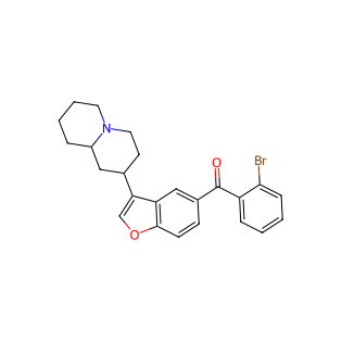 O=C(c1ccc2occ(C3CCN4CCCCC4C3)c2c1)c1ccccc1Br